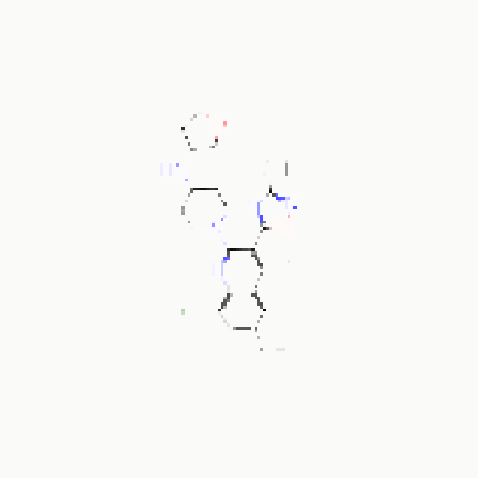 Cc1cc(Cl)c2nc(N3CCC(N[C@@H]4CCOC4)CC3)c(-c3nc(C)no3)c(C)c2c1